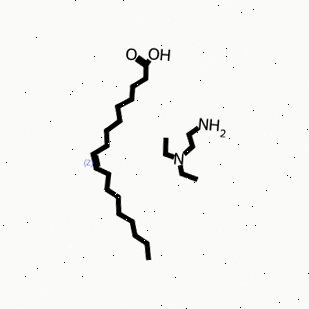 CCCCCCCC/C=C\CCCCCCCC(=O)O.CCN(CC)CCN